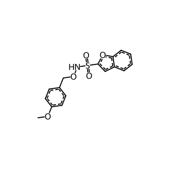 COc1ccc(CONS(=O)(=O)c2cc3ccccc3o2)cc1